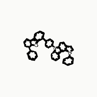 c1ccc(-c2cccc3c2oc2c(-c4ccc(-n5c6ccccc6c6c7c(ccc65)ccn7-c5ccccc5)cc4)cccc23)cc1